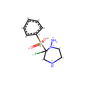 NN1CCNCC1(F)S(=O)(=O)c1ccccc1